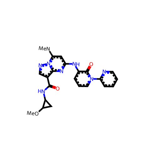 CNc1cc(Nc2cccn(-c3ccccn3)c2=O)nc2c(C(=O)NC3CC3OC)cnn12